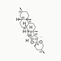 C[C@H]1CC[C@@]2(OC1)O[C@H]1C[C@H]3[C@@H]4CC[C@@H]5C[C@@H](C)CC[C@]5(C)[C@H]4CC[C@]3(C)[C@H]1[C@@H]2C